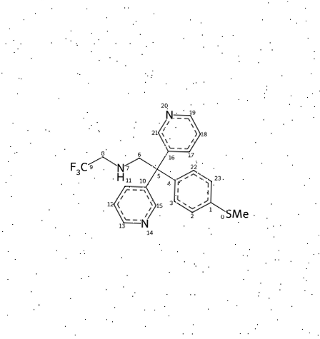 CSc1ccc(C(CNCC(F)(F)F)(c2cccnc2)c2cccnc2)cc1